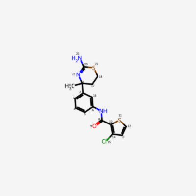 CC1(c2cccc(NC(=O)c3sccc3Cl)c2)CCSC(N)=N1